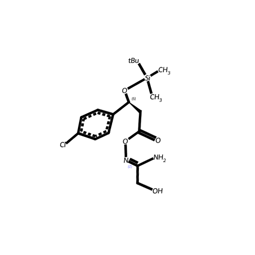 CC(C)(C)[Si](C)(C)O[C@@H](CC(=O)O/N=C(\N)CO)c1ccc(Cl)cc1